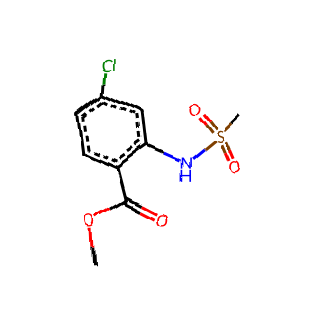 COC(=O)c1ccc(Cl)cc1NS(C)(=O)=O